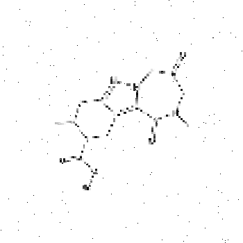 C[C@@H]1Cc2nn3c(c2CN1C(=O)OC(C)(C)C)C(=O)N(C)CC(=O)C3